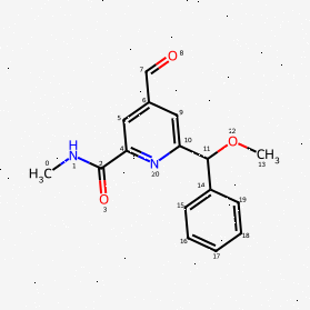 CNC(=O)c1cc(C=O)cc(C(OC)c2ccccc2)n1